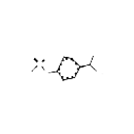 CC(C#N)c1ccc(OS(C)(=O)=O)cc1